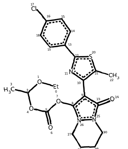 CCOC(C)OC(=O)Oc1c(-c2nc(-c3ccc(Cl)cc3)sc2C)c(=O)n2n1CCCC2